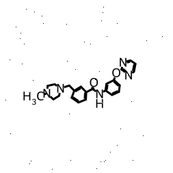 CN1CCN(Cc2cccc(C(=O)Nc3cccc(Oc4ncccn4)c3)c2)CC1